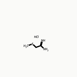 CSCC(=N)N.Cl